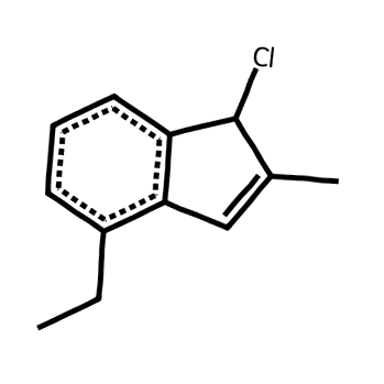 CCc1cccc2c1C=C(C)C2Cl